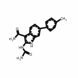 Cc1ccc(-c2ccc3c(C(N)=O)c(NC(N)=O)[nH]c3c2)cc1